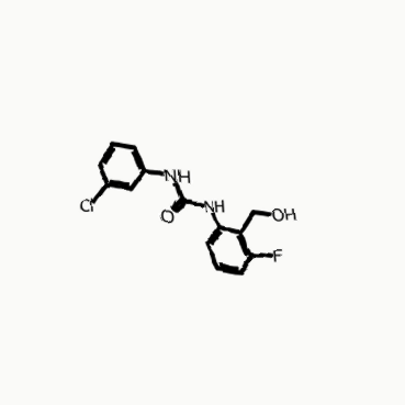 O=C(Nc1cccc(Cl)c1)Nc1cccc(F)c1CO